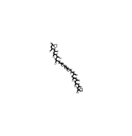 CC(Cl)CC(C)CC(C)CC(C)CC(C)CC(C)CCCOCOCOCCCC(C)CC(C)CC(C)CC(C)CC(C)CC(C)Cl